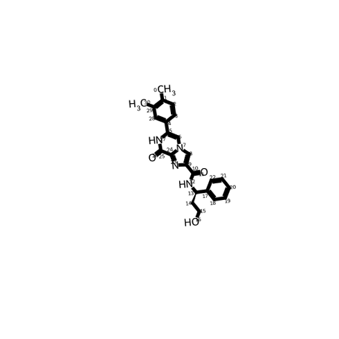 Cc1ccc(-c2cn3cc(C(=O)N[C@H](CCO)c4ccccc4)nc3c(=O)[nH]2)cc1C